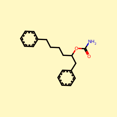 NC(=O)OC(CCCCc1ccccc1)Cc1ccccc1